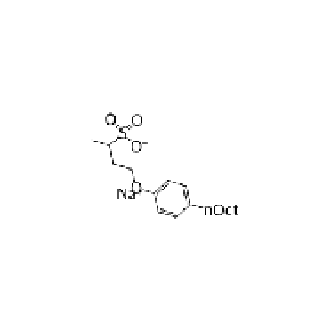 CCCCCCCCc1ccc(OCCC(C)S(=O)(=O)[O-])cc1.[Na+]